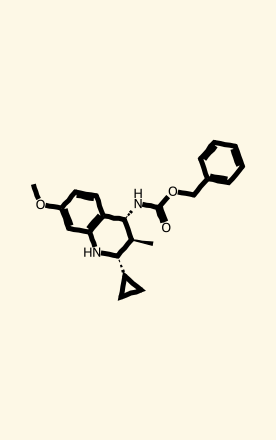 COc1ccc2c(c1)N[C@@H](C1CC1)[C@H](C)[C@H]2NC(=O)OCc1ccccc1